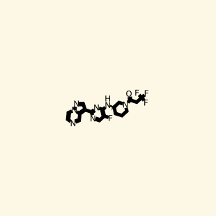 O=C(CC(F)(F)F)N1CCC[C@@H](Nc2nc(-c3cnn4ccncc34)ncc2F)C1